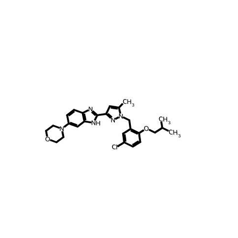 Cc1cc(-c2nc3ccc(N4CCOCC4)cc3[nH]2)nn1Cc1cc(Cl)ccc1OCC(C)C